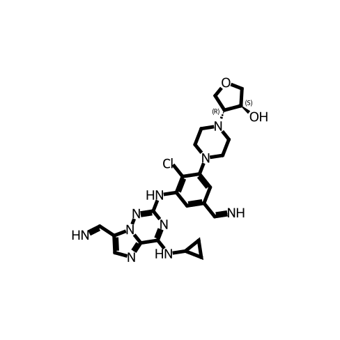 N=Cc1cc(Nc2nc(NC3CC3)c3ncc(C=N)n3n2)c(Cl)c(N2CCN([C@@H]3COC[C@H]3O)CC2)c1